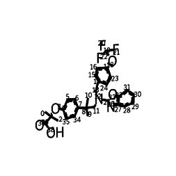 CC(C)(Oc1ccc(C(C)(C)CN(Cc2ccc(OC(F)(F)F)cc2)c2nc3ccccc3o2)cc1)C(=O)O